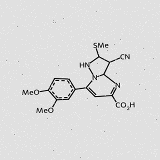 COc1ccc(C2=CC(C(=O)O)=NC3C(C#N)C(SC)NN23)cc1OC